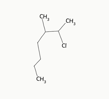 CCCCC(C)C(C)Cl